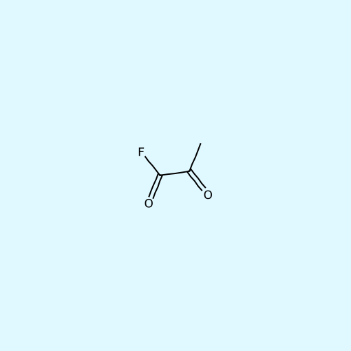 CC(=O)C(=O)F